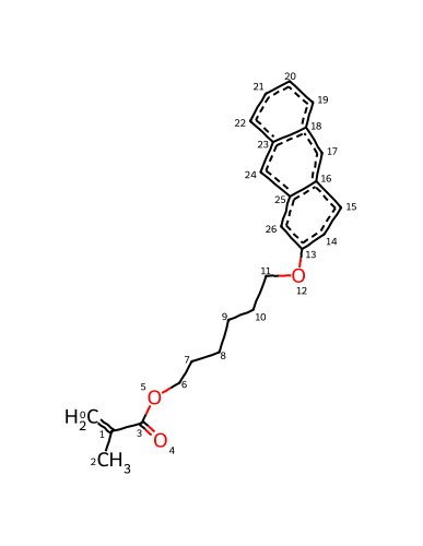 C=C(C)C(=O)OCCCCCCOc1ccc2cc3ccccc3cc2c1